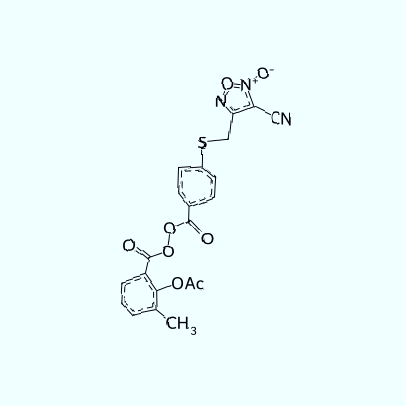 CC(=O)Oc1c(C)cccc1C(=O)OOC(=O)c1ccc(SCc2no[n+]([O-])c2C#N)cc1